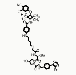 CCc1ncsc1-c1ccc(CNC(=O)[C@@H]2C[C@@H](O)CN2C(=O)[C@@H](NC(=O)COCCCCNc2ccc(C(=O)N[C@H]3C(C)(C)[C@H](Oc4ccc(C#N)c(Cl)c4)C3(C)C)cc2)C(C)(C)C)cc1